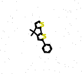 CC1(C)c2ccsc2-c2sc(-c3ccccc3)cc21